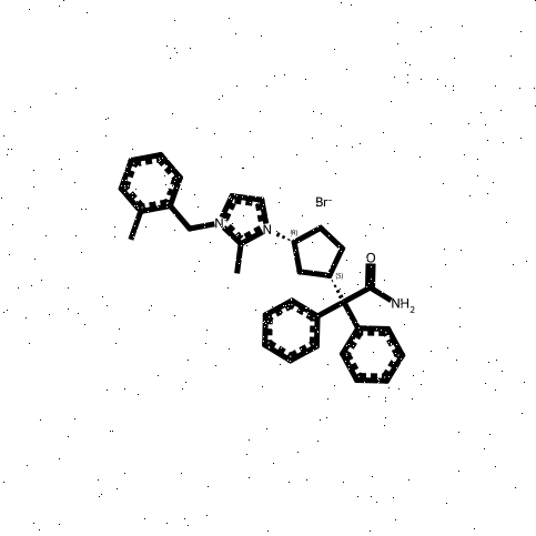 Cc1ccccc1C[n+]1ccn([C@@H]2CC[C@H](C(C(N)=O)(c3ccccc3)c3ccccc3)C2)c1C.[Br-]